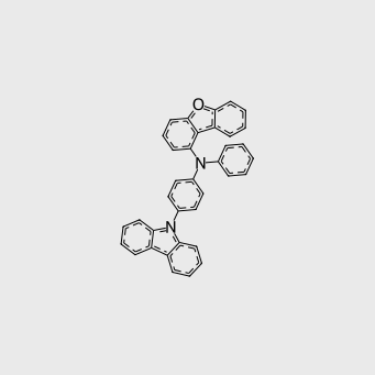 c1ccc(N(c2ccc(-n3c4ccccc4c4ccccc43)cc2)c2cccc3oc4ccccc4c23)cc1